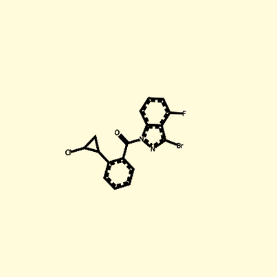 O=C(c1ccccc1C1CC1Cl)n1nc(Br)c2c(F)cccc21